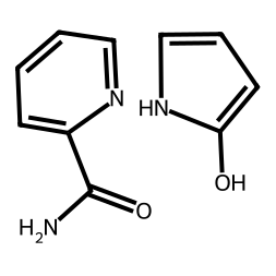 NC(=O)c1ccccn1.Oc1ccc[nH]1